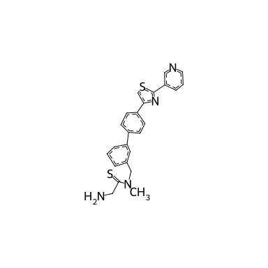 CN(Cc1cccc(-c2ccc(-c3csc(-c4cccnc4)n3)cc2)c1)C(=S)CN